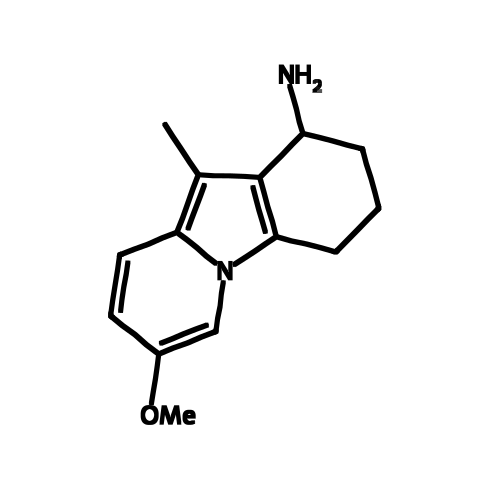 COc1ccc2c(C)c3c(n2c1)CCCC3N